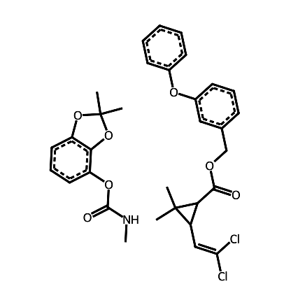 CC1(C)C(C=C(Cl)Cl)C1C(=O)OCc1cccc(Oc2ccccc2)c1.CNC(=O)Oc1cccc2c1OC(C)(C)O2